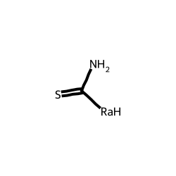 N[C](=S)[RaH]